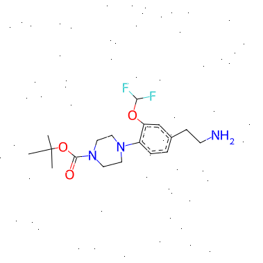 CC(C)(C)OC(=O)N1CCN(c2ccc(CCN)cc2OC(F)F)CC1